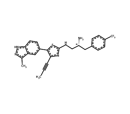 CC#Cc1nc(NC[C@H](N)Cc2ccc(C(F)(F)F)cc2)sc1-c1ccc2[nH]nc(C)c2c1